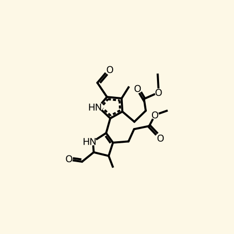 COC(=O)CCC1=C(c2[nH]c(C=O)c(C)c2CCC(=O)OC)NC(C=O)C1C